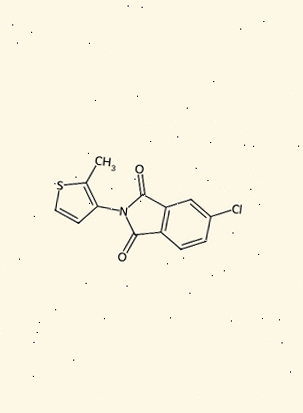 Cc1sccc1N1C(=O)c2ccc(Cl)cc2C1=O